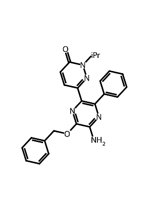 CC(C)n1nc(-c2nc(OCc3ccccc3)c(N)nc2-c2ccccc2)ccc1=O